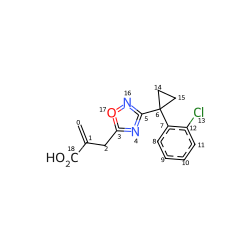 C=C(Cc1nc(C2(c3ccccc3Cl)CC2)no1)C(=O)O